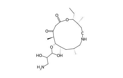 CC[C@H]1OC(=O)CC(=O)[C@H](C)[C@@H](OC(O)C(O)CN)[C@@H](C)C[C@@H](C)CNCC[C@H]1C